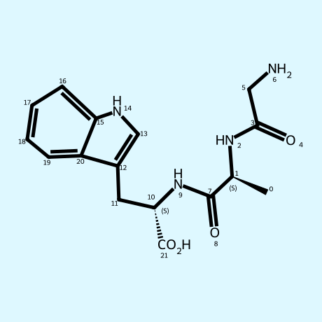 C[C@H](NC(=O)CN)C(=O)N[C@@H](Cc1c[nH]c2ccccc12)C(=O)O